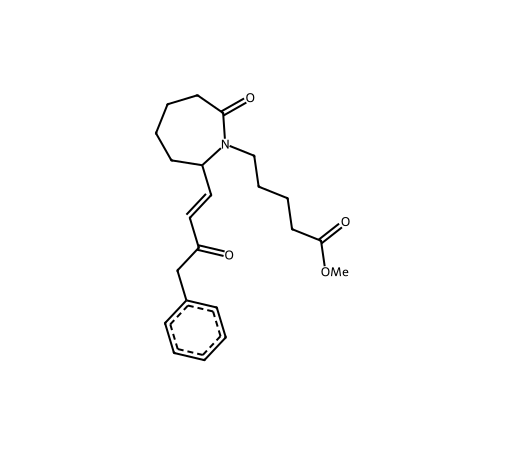 COC(=O)CCCCN1C(=O)CCCCC1C=CC(=O)Cc1ccccc1